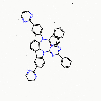 C1=NC(c2ccc3c(c2)c2ccc4c5cc(-c6ncccn6)ccc5n(-c5ccccc5)c4c2n3-c2nc(-c3ccccc3)nc(-c3ccccc3)n2)=NCC1